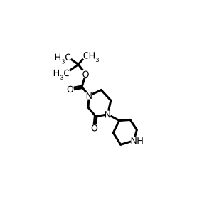 CC(C)(C)OC(=O)N1CCN(C2CCNCC2)C(=O)C1